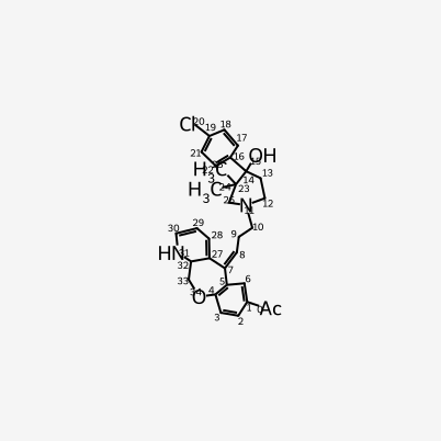 CC(=O)c1ccc2c(c1)/C(=C/CCN1CCC(O)(c3ccc(Cl)cc3)C(C)(C)C1)C1=CC=CNC1CO2